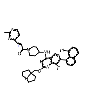 Cc1nccc(/C=C/C(=O)N2CCC(Nc3nc(OCC45CCCN4CCC5)nc4c(F)c(-c5cccc6cccc(Cl)c56)ncc34)CC2)n1